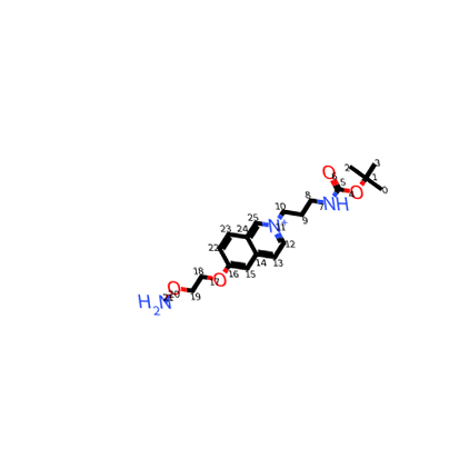 CC(C)(C)OC(=O)NCCC[n+]1ccc2cc(OCCON)ccc2c1